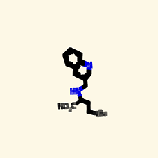 CC(C)(C)CC[C@H](NCc1cnc2ccccc2c1)C(=O)O